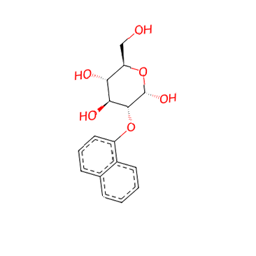 OC[C@H]1O[C@H](O)[C@H](Oc2cccc3ccccc23)[C@@H](O)[C@@H]1O